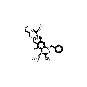 CC(C)CCC[C@@H](Cc1c(Br)cc(OCc2ccccc2)c(N(CC(=O)O)C(=O)C(F)(F)F)c1F)NC(=O)OC(C)(C)C